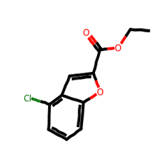 CCOC(=O)c1cc2c(Cl)cccc2o1